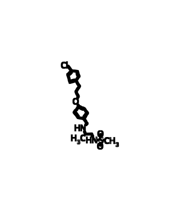 CC(CNS(C)(=O)=O)NCc1ccc(OCCCc2ccc(Cl)cc2)cc1